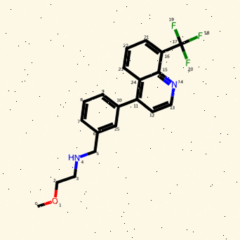 COCCNCc1cccc(-c2[c]cnc3c(C(F)(F)F)cccc23)c1